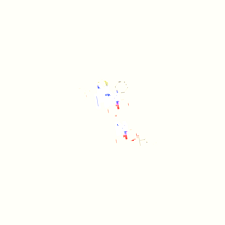 CC(C)(C)OC(=O)N1CCC(OC(=O)Nc2ccccc2-c2nc(Br)cs2)CC1